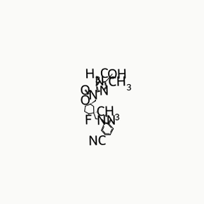 CC(C)(O)c1cnc(N2C[C@@]3(CC[C@H](F)[C@](C)(Cn4cnc5ccc(C#N)cc54)C3)OC2=O)cn1